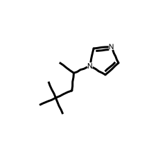 CC(CC(C)(C)C)n1ccnc1